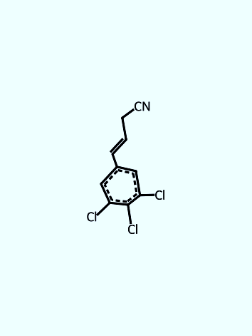 N#CC/C=C/c1cc(Cl)c(Cl)c(Cl)c1